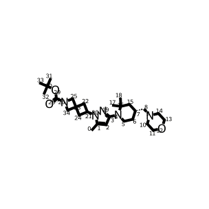 Cc1cc(N2CC[C@@H](CN3CCOCC3)CC2(C)C)nn1C1CC2(C1)CN(C(=O)OC(C)(C)C)C2